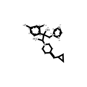 CC(N1CCC(=CC2CC2)CC1)C(O)(Cn1cncn1)c1ccc(F)cc1F